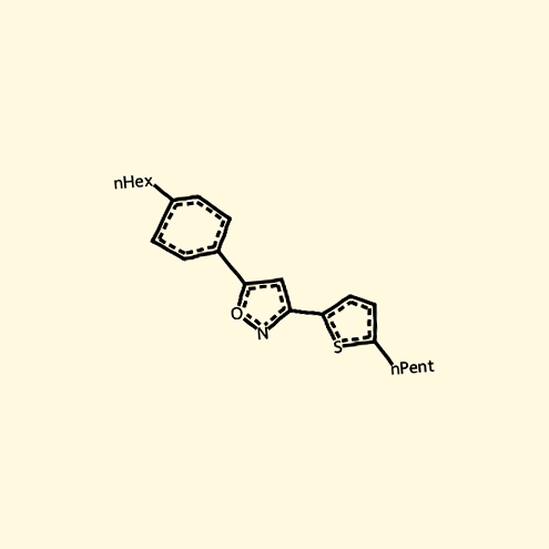 CCCCCCc1ccc(-c2cc(-c3ccc(CCCCC)s3)no2)cc1